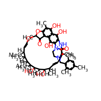 CO[C@H]1/C=C/O[C@@]2(C)Oc3c(C)c(O)c4c(O)c(c(N5CCN(Cc6c(C)cc(C)cc6C)CC5)c(O)c4c3C2=O)NC(=O)/C(C)=C\C=C\[C@H](C)[C@H](O)[C@@H](C)[C@H](O)[C@H](C)[C@H](OC(C)=O)[C@@H]1C